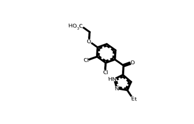 CCc1cc(C(=O)c2ccc(OCC(=O)O)c(Cl)c2Cl)[nH]n1